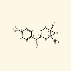 Cc1ccc(C(=O)N2CC[C@@H]3C[C@]3(N)C2)cc1